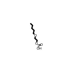 CCCCCOCCOS(=O)O